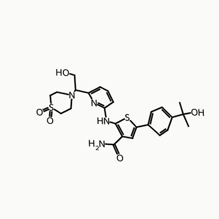 CC(C)(O)c1ccc(-c2cc(C(N)=O)c(Nc3cccc(C(CO)N4CCS(=O)(=O)CC4)n3)s2)cc1